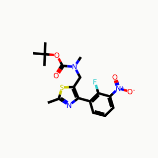 Cc1nc(-c2cccc([N+](=O)[O-])c2F)c(CN(C)C(=O)OC(C)(C)C)s1